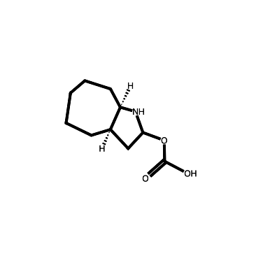 O=C(O)OC1C[C@H]2CCCCC[C@H]2N1